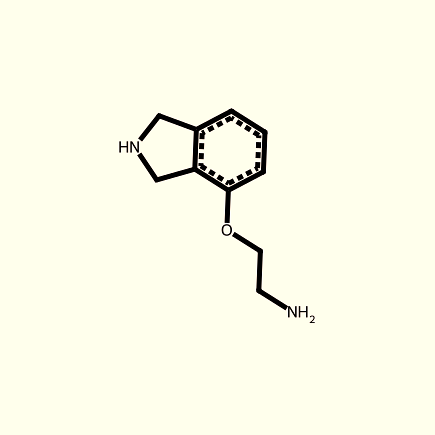 NCCOc1cccc2c1CNC2